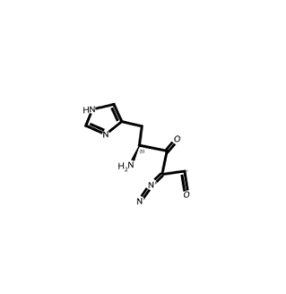 [N-]=[N+]=C([C]=O)C(=O)[C@@H](N)Cc1c[nH]cn1